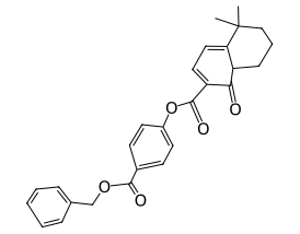 CC1(C)CCCC2C(=O)C(C(=O)Oc3ccc(C(=O)OCc4ccccc4)cc3)=CC=C21